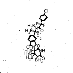 BC1C(=O)NC(=O)[C@@](B)(N2Cc3cc(C(B)(B)N(B)C(=O)C(F)(F)c4ccc(Cl)cc4)ccc3C2=O)C1(B)B